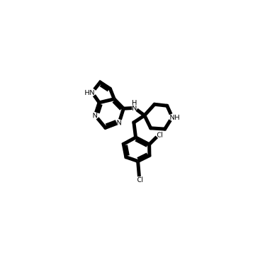 Clc1ccc(CC2(Nc3ncnc4[nH]ccc34)CCNCC2)c(Cl)c1